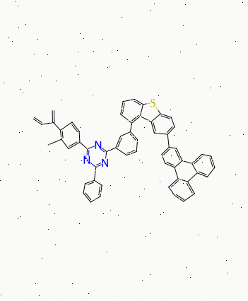 C=CC(=C)c1ccc(-c2nc(-c3ccccc3)nc(-c3cccc(-c4cccc5sc6ccc(-c7ccc8c9ccccc9c9ccccc9c8c7)cc6c45)c3)n2)cc1C